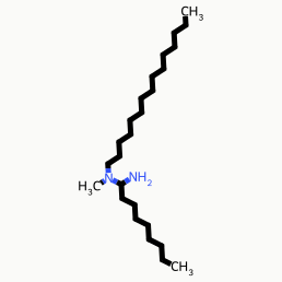 CCCCCCCCCCCCCCCN(C)C(N)CCCCCCCC